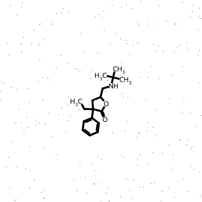 CCC1(c2ccccc2)CC(CNC(C)(C)C)OC1=O